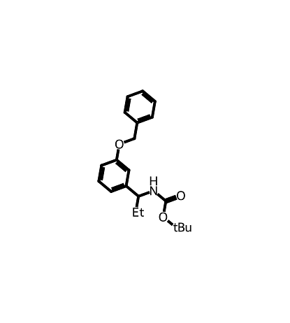 CCC(NC(=O)OC(C)(C)C)c1cccc(OCc2ccccc2)c1